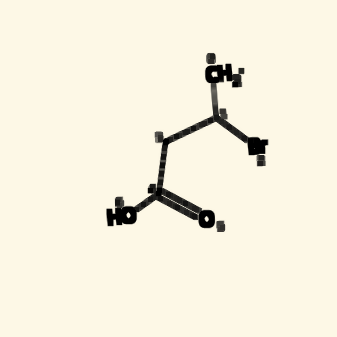 [CH2]C(Br)CC(=O)O